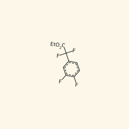 CCOC(=O)C(F)(F)c1ccc(F)c(F)c1